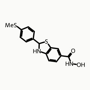 CSc1ccc(C2Nc3ccc(C(=O)NO)cc3S2)cc1